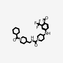 O=Nc1ccc(NC2CCN(C(=O)NCC3CCN(C(=O)C4CCCCC4)CC3)CC2)cc1C(F)(F)F